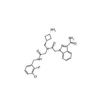 NC(=O)c1nn(CC(=O)N(CC(=O)NCc2cccc(Cl)c2F)C[C@H]2C[C@H](N)C2)c2ccccc12